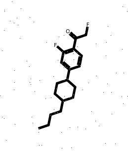 CCCCC1CCC(c2ccc(C(=O)CF)c(F)c2)CC1